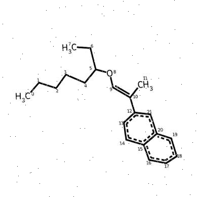 CCCCCC(CC)OC=C(C)c1ccc2ccccc2c1